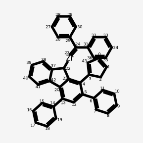 C1=CCC(c2c(-c3ccccc3)cc(-c3ccccc3)c3c2[CH]([Zr]=[C](c2ccccc2)c2ccccc2)c2ccccc2-3)=C1